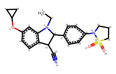 CCN1c2cc(OC3CC3)ccc2C(C#N)C1c1ccc(N2CCCS2(=O)=O)cc1